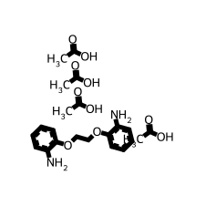 CC(=O)O.CC(=O)O.CC(=O)O.CC(=O)O.Nc1ccccc1OCCOc1ccccc1N